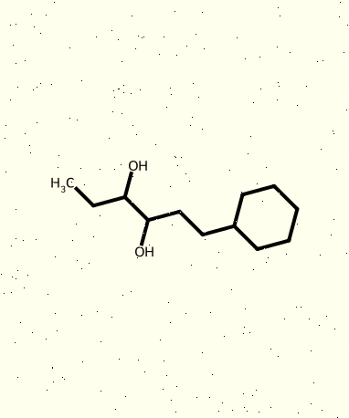 CCC(O)C(O)CCC1CCCCC1